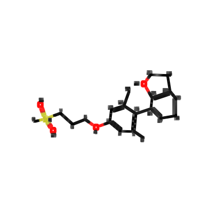 Cc1cc(OCCCS(C)(=O)=O)cc(C)c1-c1cccc2c1OC[CH]2